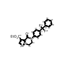 CCOC(=O)c1cnn2c1C(=O)N(c1ccc(C(F)(F)c3ccccc3)cc1)CC2